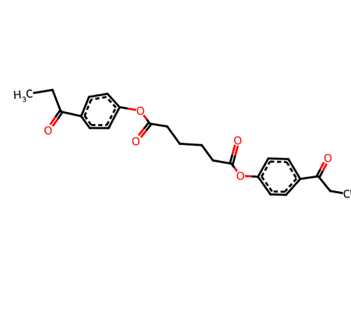 CCC(=O)c1ccc(OC(=O)CCCCC(=O)Oc2ccc(C(=O)CC)cc2)cc1